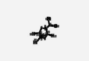 CCC(=O)N1C[C@@H]2C[C@H]1CN2CC